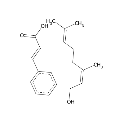 CC(C)=CCC/C(C)=C\CO.O=C(O)C=Cc1ccccc1